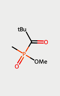 COP(C)(=O)C(=O)C(C)(C)C